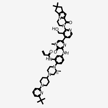 C=CC(=O)Nc1cc(Nc2nc(-c3ccnc(N4CCn5c(cc6c5CC(C)(C)C6)C4=O)c3CO)cn(C)c2=O)ccc1N1CCN(C2CCN(c3cccc(C(C)(C)C)n3)CC2)C[C@@H]1C